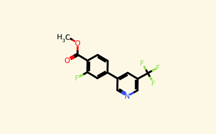 COC(=O)c1ccc(-c2cncc(C(F)(F)F)c2)cc1F